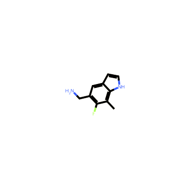 Cc1c(F)c(CN)cc2cc[nH]c12